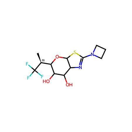 C[C@@H](C1OC2SC(N3CCC3)=NC2C(O)C1O)C(F)(F)F